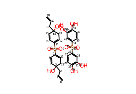 C=CCC1(O)C=CC(S(=O)(=O)C2=CCC(O)(CC=C)C=C2)=CC1.O=S(=O)(c1ccc(O)c(O)c1)c1ccc(O)c(O)c1